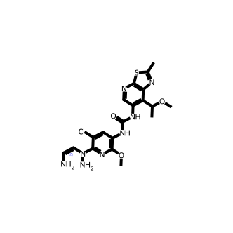 COc1nc(N(N)/C=C\N)c(Cl)cc1NC(=O)Nc1cnc2sc(C)nc2c1C(C)OC